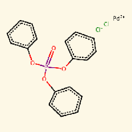 O=P(Oc1ccccc1)(Oc1ccccc1)Oc1ccccc1.[Cl-].[Cl-].[Pd+2]